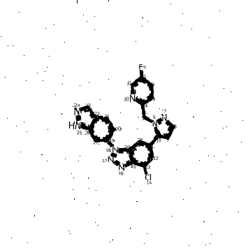 Fc1ccc(Cn2nccc2-c2cc(Cl)c3nnn(-c4ccc5cn[nH]c5c4)c3c2)nc1